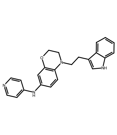 c1ccc2c(CCN3CCOc4cc(Nc5ccncc5)ccc43)c[nH]c2c1